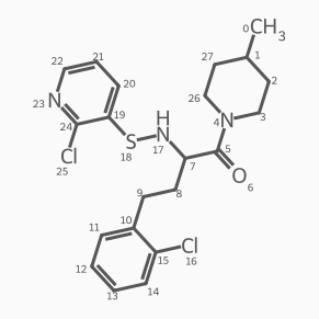 CC1CCN(C(=O)C(CCc2ccccc2Cl)NSc2cccnc2Cl)CC1